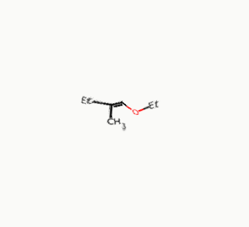 [CH2]COC=C(C)CC